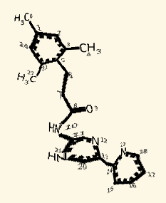 Cc1cc(C)c(CCC(=O)Nc2nc(-c3ccccn3)c[nH]2)c(C)c1